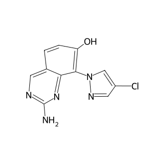 Nc1ncc2ccc(O)c(-n3cc(Cl)cn3)c2n1